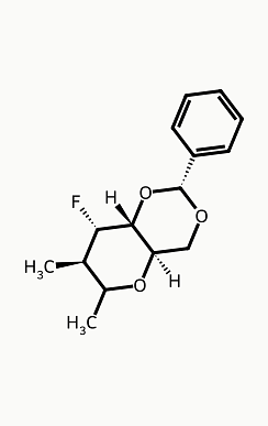 CC1O[C@@H]2CO[C@@H](c3ccccc3)O[C@H]2[C@@H](F)[C@@H]1C